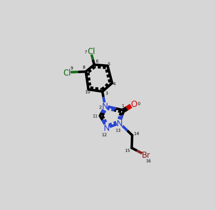 O=c1n(-c2ccc(Cl)c(Cl)c2)cnn1CCBr